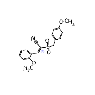 COc1ccc(CS(=O)(=O)/C(C#N)=C/c2ccccc2OC)cc1